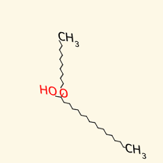 CCCCCCCCCCCCCCCCC(CO)OCCCCCCCCCCCC